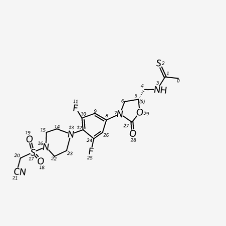 CC(=S)NC[C@H]1CN(c2cc(F)c(N3CCN(S(=O)(=O)CC#N)CC3)c(F)c2)C(=O)O1